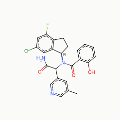 Cc1cncc(C(C(N)=O)N(C(=O)c2ccccc2O)[C@@H]2CCc3c(F)cc(Cl)cc32)c1